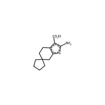 CCOC(=O)c1c(N)sc2c1CCC1(CCCC1)C2